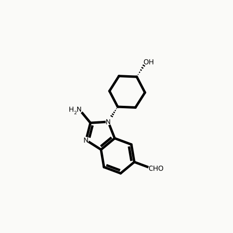 Nc1nc2ccc(C=O)cc2n1[C@H]1CC[C@@H](O)CC1